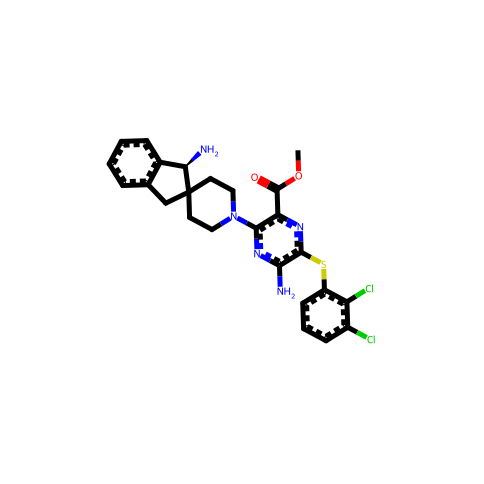 COC(=O)c1nc(Sc2cccc(Cl)c2Cl)c(N)nc1N1CCC2(CC1)Cc1ccccc1[C@H]2N